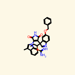 CCC(SC(=N)N)C1(C2=C(n3cc(C)c4ccccc43)C(=O)NC2=O)C=Nc2ccc(OCc3ccccc3)cc21